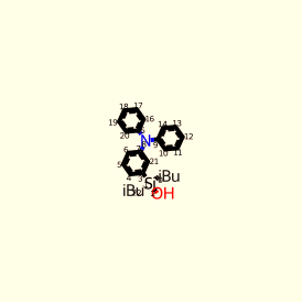 CCC(C)[Si](O)(c1cccc(N(c2ccccc2)c2ccccc2)c1)C(C)CC